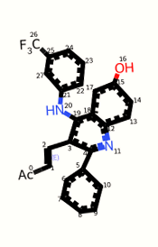 CC(=O)/C=C/c1c(-c2ccccc2)nc2ccc(O)cc2c1Nc1cccc(C(F)(F)F)c1